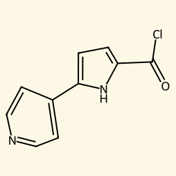 O=C(Cl)c1ccc(-c2ccncc2)[nH]1